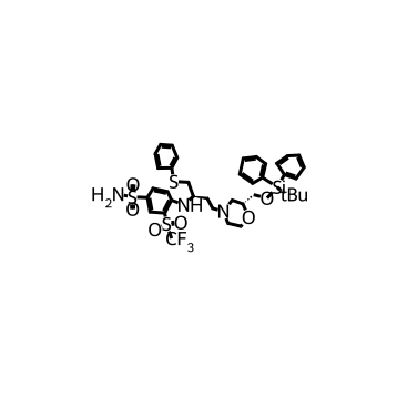 CC(C)(C)[Si](OC[C@H]1CN(CC[C@H](CSc2ccccc2)Nc2ccc(S(N)(=O)=O)cc2S(=O)(=O)C(F)(F)F)CCO1)(c1ccccc1)c1ccccc1